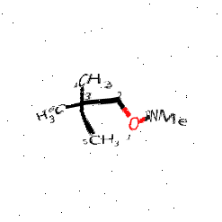 CNOCC(C)(C)C